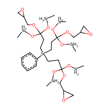 C[SiH2]OC(CC[Si](CCC(OCC1CO1)(O[SiH2]C)O[SiH2]C)(CCC(OCC1CO1)(O[SiH2]C)O[SiH2]C)c1ccccc1)(OCC1CO1)O[SiH2]C